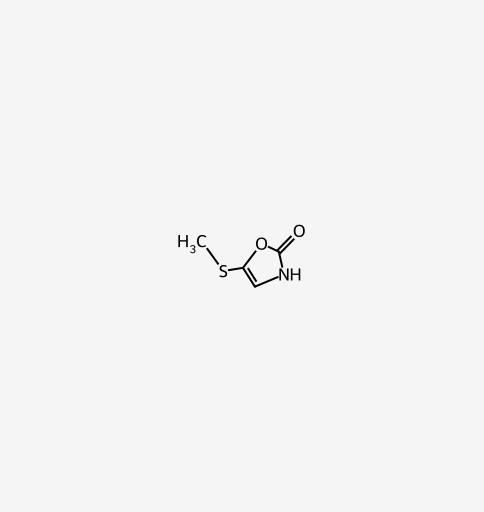 CSc1c[nH]c(=O)o1